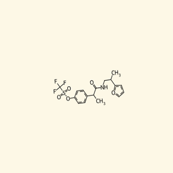 CC(CNC(=O)C(C)c1ccc(OS(=O)(=O)C(F)(F)F)cc1)c1ccco1